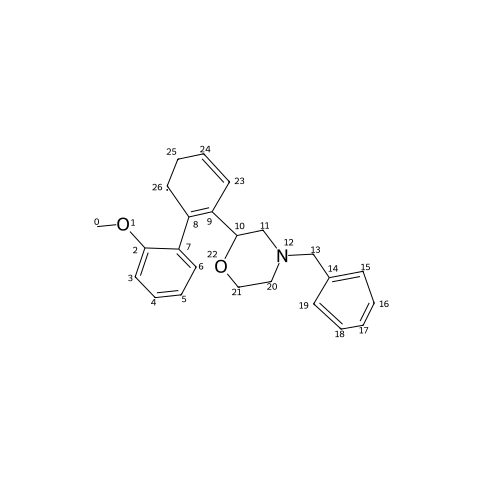 COc1ccccc1C1=C(C2CN(Cc3ccccc3)CCO2)C=CC[CH]1